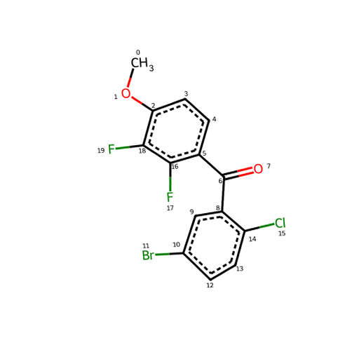 COc1ccc(C(=O)c2cc(Br)ccc2Cl)c(F)c1F